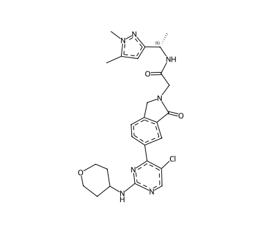 Cc1cc([C@H](C)NC(=O)CN2Cc3ccc(-c4nc(NC5CCOCC5)ncc4Cl)cc3C2=O)nn1C